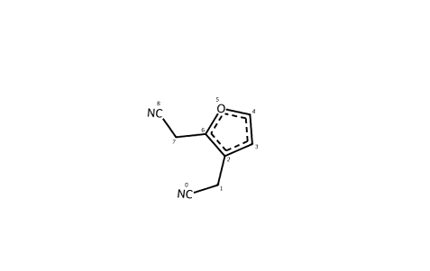 N#CCc1ccoc1CC#N